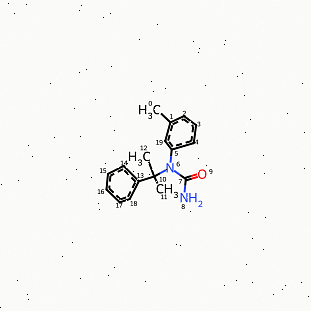 Cc1cccc(N(C(N)=O)C(C)(C)c2ccccc2)c1